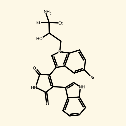 CCC(N)(CC)C(O)Cn1cc(C2=C(c3c[nH]c4ccccc34)C(=O)NC2=O)c2cc(Br)ccc21